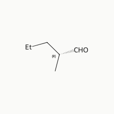 CCC[C@@H](C)C=O